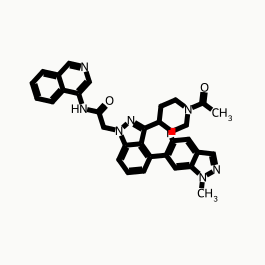 CC(=O)N1CCC(c2nn(CC(=O)Nc3cncc4ccccc34)c3cccc(-c4cc5c(cnn5C)cc4F)c23)CC1